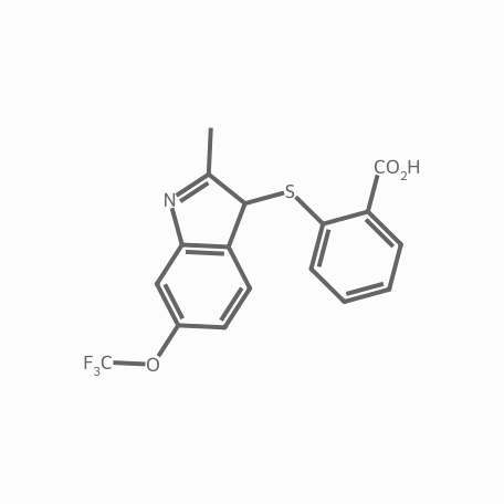 CC1=Nc2cc(OC(F)(F)F)ccc2C1Sc1ccccc1C(=O)O